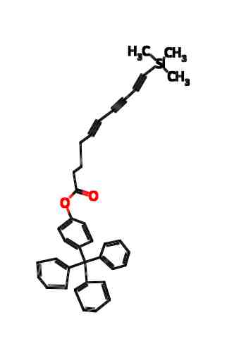 C[Si](C)(C)C#CC#CC#CCCCC(=O)Oc1ccc(C(c2ccccc2)(c2ccccc2)c2ccccc2)cc1